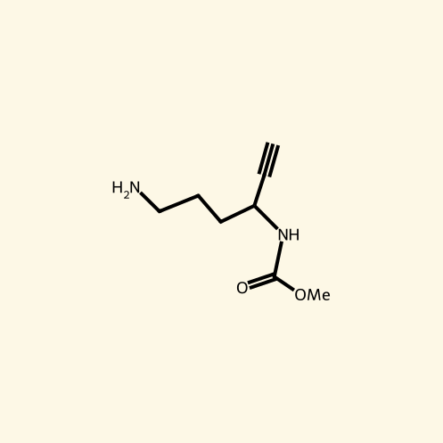 C#CC(CCCN)NC(=O)OC